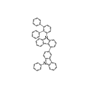 c1ccc(-c2cccc(-n3c4ccccc4c4c(-c5ccc6c(c5)c5ccccc5n6-c5ccccc5)cccc43)c2-c2ccccc2)cc1